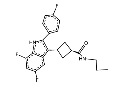 CCCNC(=O)[C@H]1C[C@H](c2c(-c3ccc(F)cc3)[nH]c3c(F)cc(F)cc32)C1